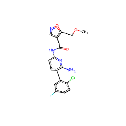 COCc1oncc1C(=O)Nc1ccc(-c2cc(F)ccc2Cl)c(N)n1